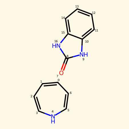 C1=CC=CNC=C1.O=c1[nH]c2ccccc2[nH]1